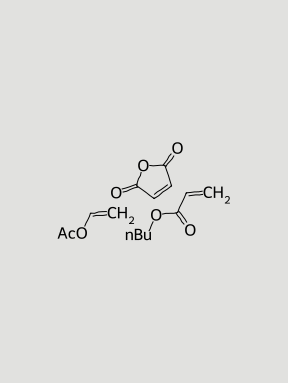 C=CC(=O)OCCCC.C=COC(C)=O.O=C1C=CC(=O)O1